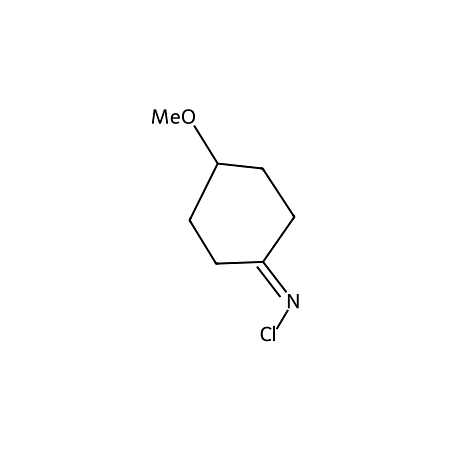 COC1CCC(=NCl)CC1